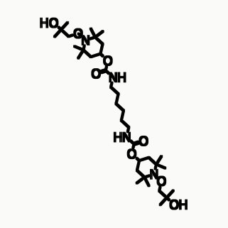 CC(C)(O)CON1C(C)(C)CC(OC(=O)NCCCCCCNC(=O)OC2CC(C)(C)N(OCC(C)(C)O)C(C)(C)C2)CC1(C)C